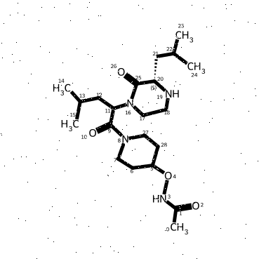 CC(=O)NOC1CCN(C(=O)C(CC(C)C)N2CCN[C@@H](CC(C)C)C2=O)CC1